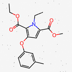 CCOC(=O)c1c(Oc2cccc(C)c2)cc(C(=O)OC)n1CC